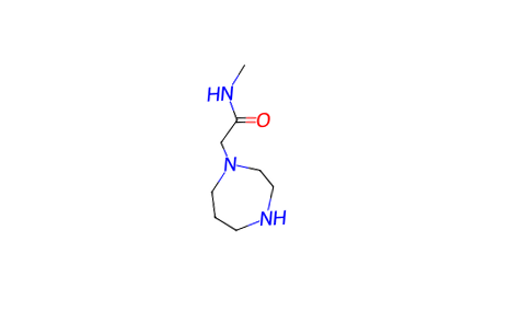 CNC(=O)CN1CCCNCC1